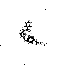 CC(Oc1ccc(Cn2ccc(NC(=O)c3c(F)cccc3F)n2)c(C(F)(F)F)c1)C(=O)O